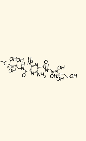 Nc1nc(C(=O)NC[C@@H](O)[C@H](O)[C@@H](O)CCO)c(N)nc1C(=O)NC[C@@H](O)[C@H](O)[C@@H](O)CCO